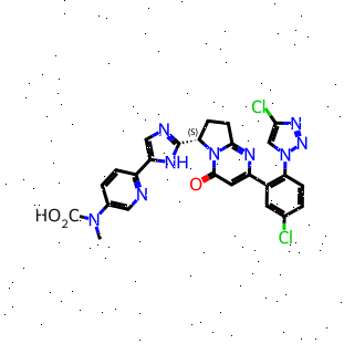 CN(C(=O)O)c1ccc(-c2cnc([C@@H]3CCc4nc(-c5cc(Cl)ccc5-n5cc(Cl)nn5)cc(=O)n43)[nH]2)nc1